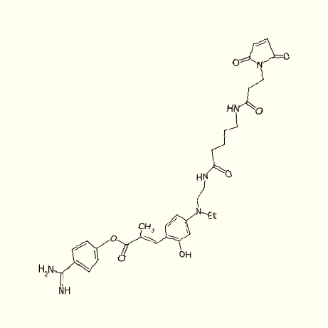 CCN(CCNC(=O)CCCCNC(=O)CCN1C(=O)C=CC1=O)c1ccc(/C=C(\C)C(=O)Oc2ccc(C(=N)N)cc2)c(O)c1